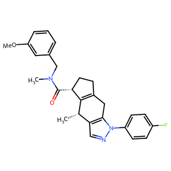 COc1cccc(CN(C)C(=O)[C@@H]2CCC3=C2[C@@H](C)c2cnn(-c4ccc(F)cc4)c2C3)c1